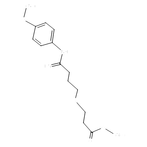 CCCCCCCCCOC(=O)CCSCCCC(=N)Nc1ccc(OCCCCCCCCC)cc1